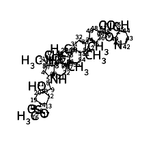 C=C(C)[C@@H]1CC[C@]2(NCC[C@]3(O)CC[C@@H](S(C)(=O)=O)CC3)CC[C@]3(C)[C@H](CCC4[C@@]5(C)CC=C(C6=CC[C@@](COc7ncccc7C#N)(C(=O)O)CC6)C(C)(C)C5CC[C@]43C)C12